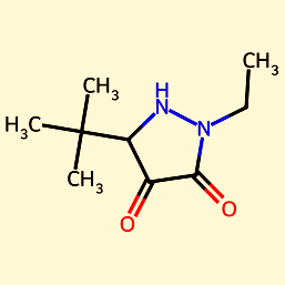 CCN1NC(C(C)(C)C)C(=O)C1=O